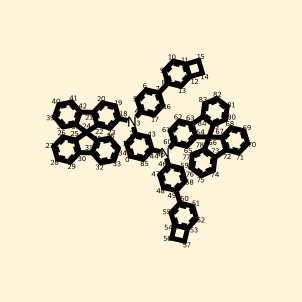 c1cc(N(c2ccc(-c3ccc4c(c3)CC4)cc2)c2ccc3c(c2)C2(c4ccccc4-c4ccccc42)c2ccccc2-3)cc(N(c2ccc(-c3ccc4c(c3)CC4)cc2)c2ccc3c(c2)C2(c4ccccc4-c4ccccc42)c2ccccc2-3)c1